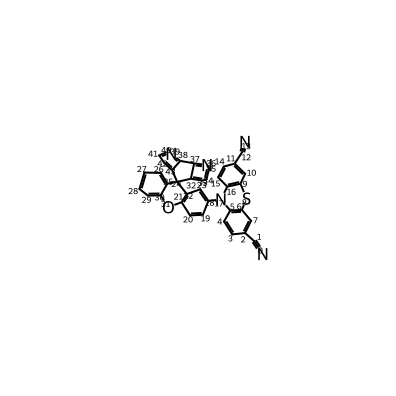 N#Cc1ccc2c(c1)Sc1cc(C#N)ccc1N2c1ccc2c(c1)C1(c3ccccc3O2)c2cccnc2-c2ncccc21